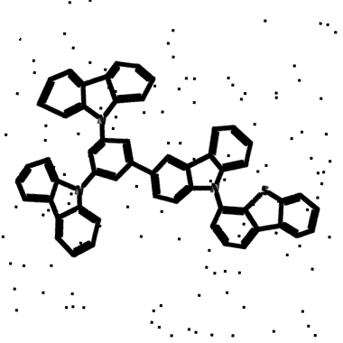 c1ccc2c(c1)sc1c(-n3c4ccccc4c4cc(-c5cc(-n6c7ccccc7c7ccccc76)cc(-n6c7ccccc7c7ccccc76)c5)ccc43)cccc12